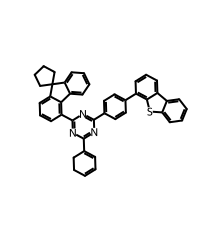 C1=CCCC(c2nc(-c3ccc(-c4cccc5c4sc4ccccc45)cc3)nc(-c3cccc4c3-c3ccccc3C43CCCC3)n2)=C1